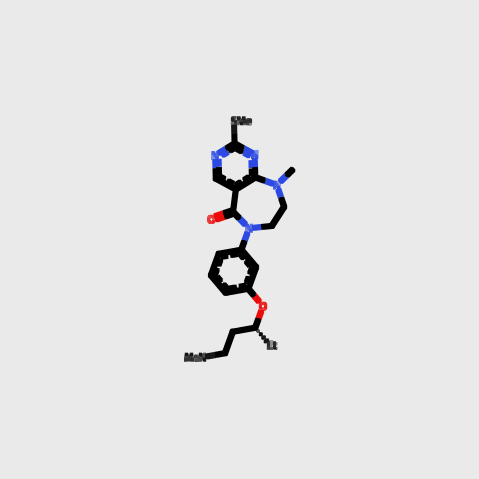 CC[C@H](CCNC)Oc1cccc(N2CCN(C)c3nc(SC)ncc3C2=O)c1